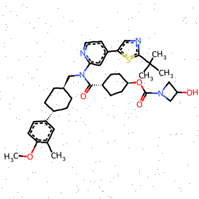 COc1ccc([C@H]2CC[C@H](CN(c3cc(-c4cnc(C(C)(C)C)s4)ccn3)C(=O)[C@H]3CC[C@H](OC(=O)N4CC(O)C4)CC3)CC2)cc1C